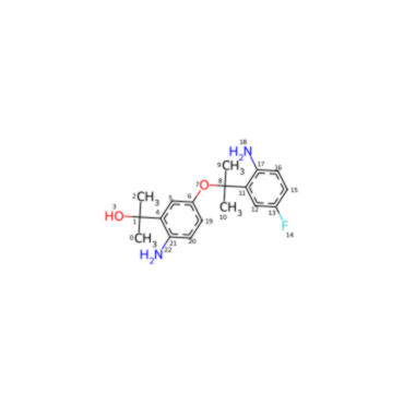 CC(C)(O)c1cc(OC(C)(C)c2cc(F)ccc2N)ccc1N